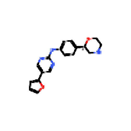 c1coc(-c2cnc(Nc3ccc([C@@H]4CNCCO4)cc3)nc2)c1